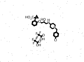 O=C(O)C(F)(F)F.O=C(O)C(F)(F)F.O=C(O)C1(c2ccccc2OC[C@@H](O)CNC2CCN(Cc3ccc(Cl)cc3)CC2)CC1